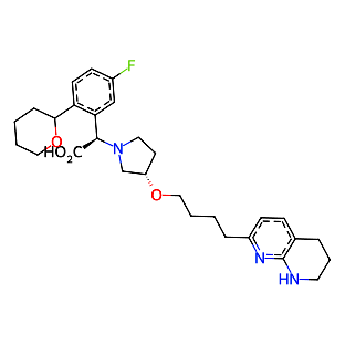 O=C(O)[C@@H](c1cc(F)ccc1C1CCCCO1)N1CC[C@H](OCCCCc2ccc3c(n2)NCCC3)C1